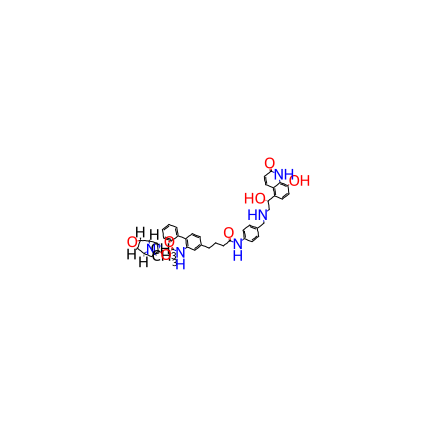 C[N+]1(C)[C@@H]2CC(OC(=O)Nc3cc(CCCC(=O)Nc4ccc(CNC[C@H](O)c5ccc(O)c6[nH]c(=O)ccc56)cc4)ccc3-c3ccccc3)C[C@H]1[C@@H]1O[C@@H]12